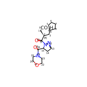 O=C(O)C[C@@H](CC1CCCC1)C(=O)N1N=CCC1C(=O)N1CCOCC1